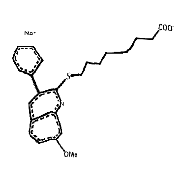 COc1ccc2cc(-c3ccccc3)c(SCCCCCCCC(=O)[O-])nc2c1.[Na+]